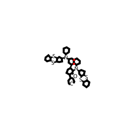 c1ccc(N(c2cccc(-c3ccc4c(oc5ccccc54)c3N(c3ccccc3)c3ccc4c(c3)Sc3ccccc3S4)c2)c2ccc3c(c2)Sc2ccccc2S3)cc1